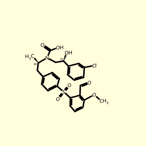 COc1cccc(S(=O)(=O)c2ccc(C[C@@H](C)N(C[C@@H](O)c3cccc(Cl)c3)C(=O)O)cc2)c1C=O